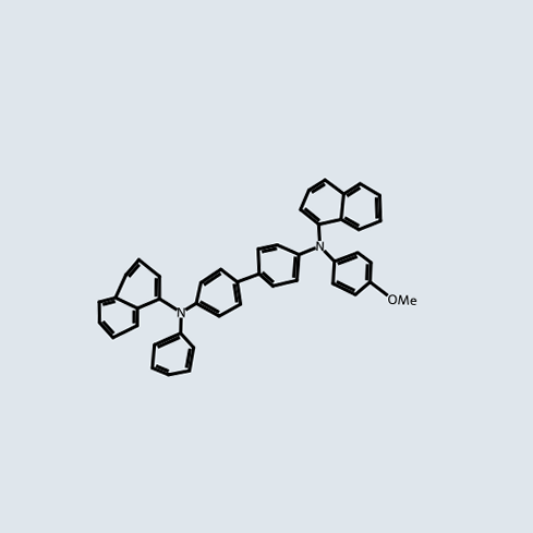 COc1ccc(N(c2ccc(-c3ccc(N(c4ccccc4)c4cccc5ccccc45)cc3)cc2)c2cccc3ccccc23)cc1